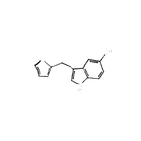 Oc1ccc2[nH]cc(Cc3cccs3)c2c1